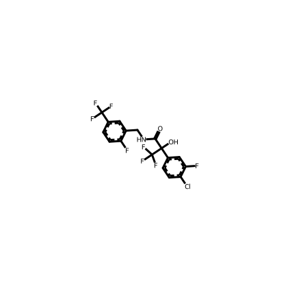 O=C(NCc1cc(C(F)(F)F)ccc1F)C(O)(c1ccc(Cl)c(F)c1)C(F)(F)F